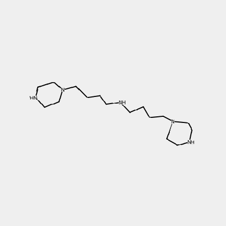 C(CCN1CCNCC1)CNCCCCN1CCNCC1